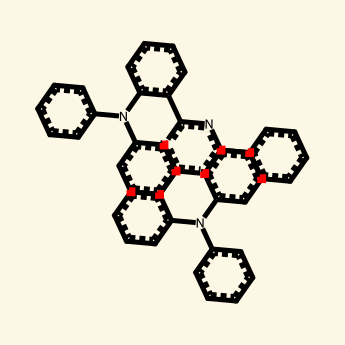 c1ccc(-c2nc(-c3ccccc3N(c3ccccc3)c3ccccc3)nc(-c3ccccc3N(c3ccccc3)c3ccccc3)n2)cc1